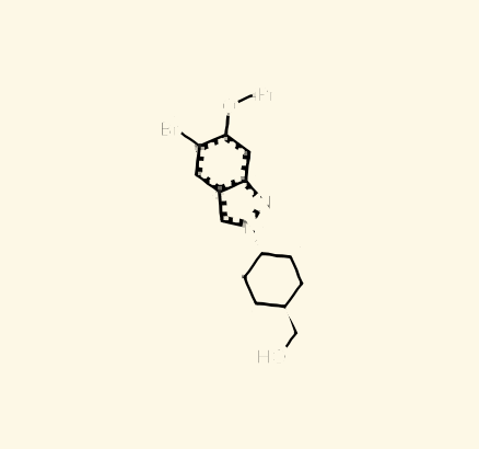 CC(C)Oc1cc2nn([C@H]3CC[C@H](CO)CC3)cc2cc1Br